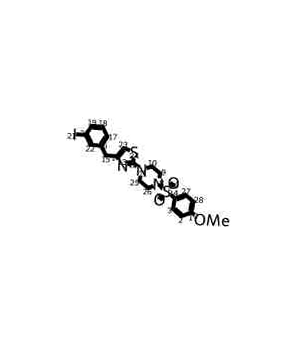 COc1ccc(S(=O)(=O)N2CCN(c3nc(Cc4cccc(I)c4)cs3)CC2)cc1